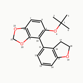 CC(C)(C)Oc1ccc2c(c1-c1cccc3c1CCO3)OCO2